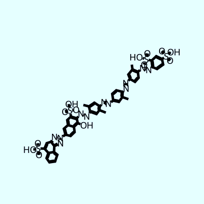 Cc1cc(N=Nc2cc(C)c(N=Nc3c(S(=O)(=O)O)cc4cc(-n5nc6cc(S(=O)(=O)O)c7ccccc7c6n5)ccc4c3O)cc2C)ccc1N=Nc1ccc(N=Nc2ccc(S(=O)(=O)O)cc2S(=O)(=O)O)c(C)c1